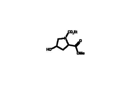 CCOC(=O)N1CC(O)CC1C(=O)OC